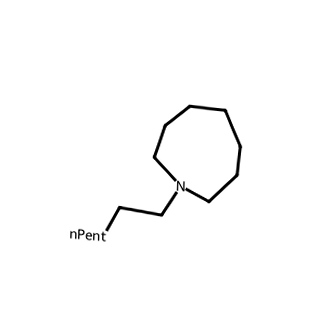 CCCCCCCN1CCCCCCC1